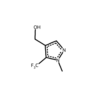 Cn1ncc(CO)c1C(F)(F)F